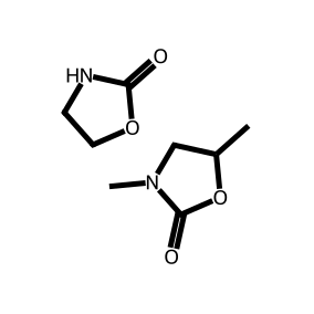 CC1CN(C)C(=O)O1.O=C1NCCO1